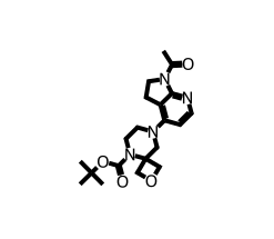 CC(=O)N1CCc2c(N3CCN(C(=O)OC(C)(C)C)C4(COC4)C3)ccnc21